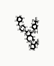 FC(F)(F)c1ccc(Nc2nc(N3CCN(Cc4ccccc4)CC3)nc3c2CCN(c2ncccc2C(F)(F)F)CC3)cc1